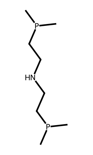 CP(C)CCNCCP(C)C